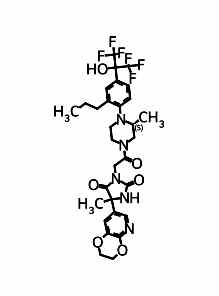 CCCc1cc(C(O)(C(F)(F)F)C(F)(F)F)ccc1N1CCN(C(=O)CN2C(=O)NC(C)(c3cnc4c(c3)OCCO4)C2=O)C[C@@H]1C